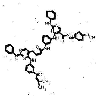 COc1ccc(CNC(=O)c2cnc(Nc3ccccc3)nc2Nc2cccc(NC(=O)/C=C\Cc3cnc(Nc4ccccc4)nc3Nc3cccc(C(=O)C=C(C)C)c3)c2)cc1